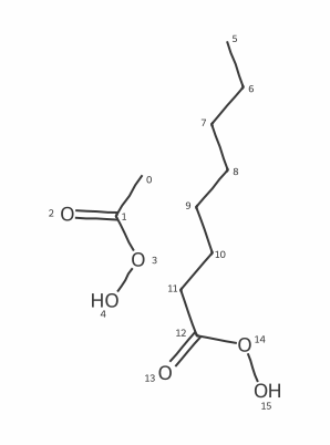 CC(=O)OO.CCCCCCCC(=O)OO